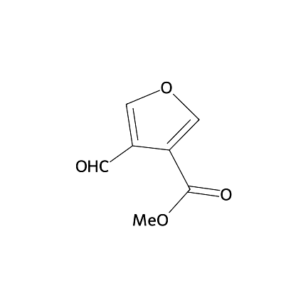 COC(=O)c1cocc1C=O